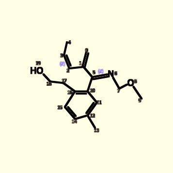 C=C(/C=C\C)/C(=N/COC)c1cc(C)ccc1CCO